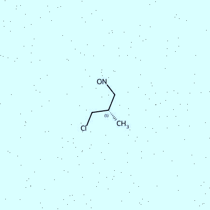 C[C@H](CCl)CN=O